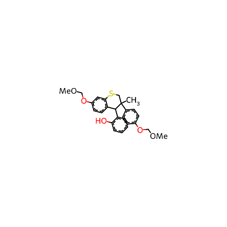 COCOc1ccc(C2(C)CSc3cc(OCOC)ccc3C2c2ccccc2O)cc1